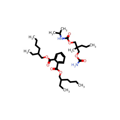 CCCC(C)(COC(N)=O)COC(=O)NC(C)C.CCCCC(CC)COC(=O)c1ccccc1C(=O)OCC(CC)CCCC